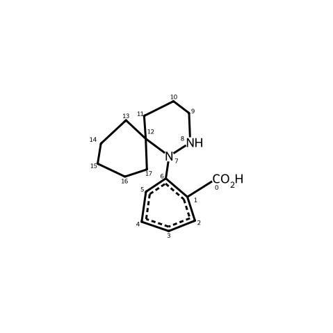 O=C(O)c1ccccc1N1NCCCC12CCCCC2